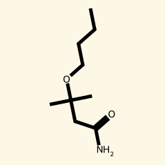 CCCCOC(C)(C)CC(N)=O